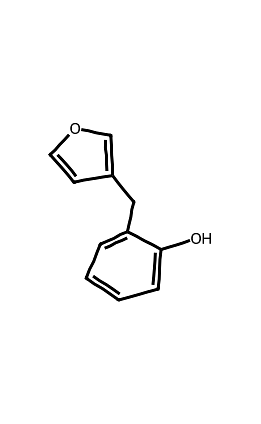 Oc1ccccc1Cc1ccoc1